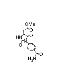 COC(=O)CC1NC(=O)N(c2ccc(C(N)=O)cc2)C1=O